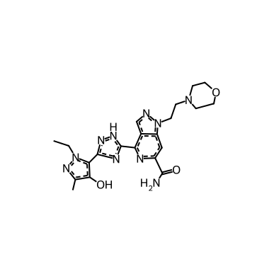 CCn1nc(C)c(O)c1-c1n[nH]c(-c2nc(C(N)=O)cc3c2cnn3CCN2CCOCC2)n1